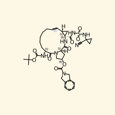 CC(C)(C)OC(=O)N[C@H]1CCCCC/C=C/[C@@H]2C[C@@]2(C(=O)NS(=O)(=O)NC2(C#N)CC2)NC(=O)[C@@H]2C[C@@H](OC(=O)N3Cc4ccccc4C3)CN2C1=O